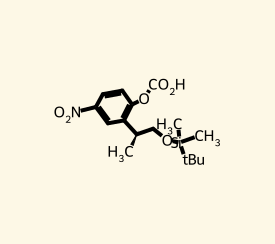 C[C@H](CO[Si](C)(C)C(C)(C)C)c1cc([N+](=O)[O-])ccc1OC(=O)O